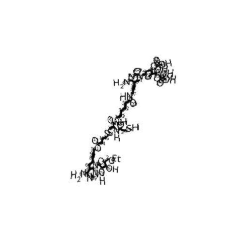 CCOCC1OC(n2c(C#CCOC(=O)CCCSSCC(NC(=O)CS)C(=O)NCCCCCC(=O)NCC#Cc3cn(C4CC(OP(=O)(O)O)C(COP(=O)(O)O)O4)c(=O)nc3N)cc3c(N)ncnc32)C(O)C1O